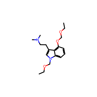 CCOCOc1cccc2c1c(CCN(C)C)cn2COCC